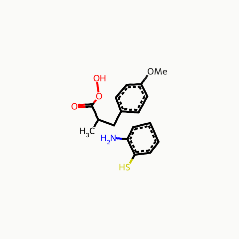 COc1ccc(CC(C)C(=O)OO)cc1.Nc1ccccc1S